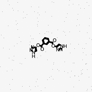 O=C(Oc1c[nH]nn1)c1cccc(C(=O)Oc2c[nH]nn2)c1